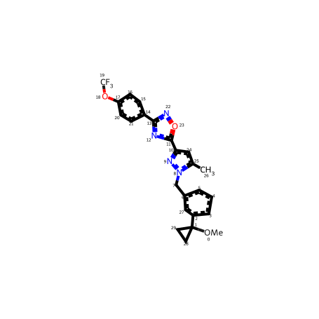 COC1(c2cccc(Cn3nc(-c4nc(-c5ccc(OC(F)(F)F)cc5)no4)cc3C)c2)CC1